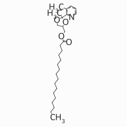 CCCCCCCCCCCCCCCCC(=O)OCC1COC(C)(c2ncccc2C)O1